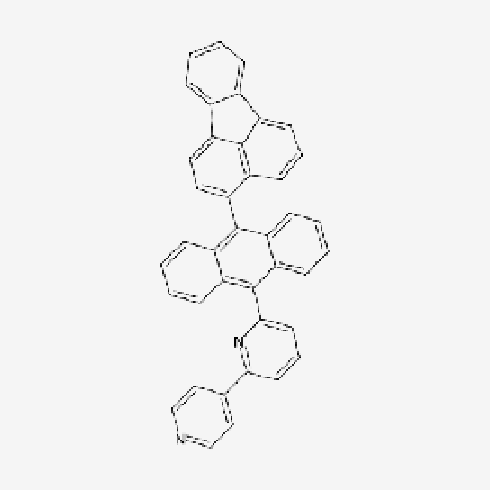 c1cc(-c2ccncc2)nc(-c2c3ccccc3c(-c3ccc4c5c(cccc35)-c3ccccc3-4)c3ccccc23)c1